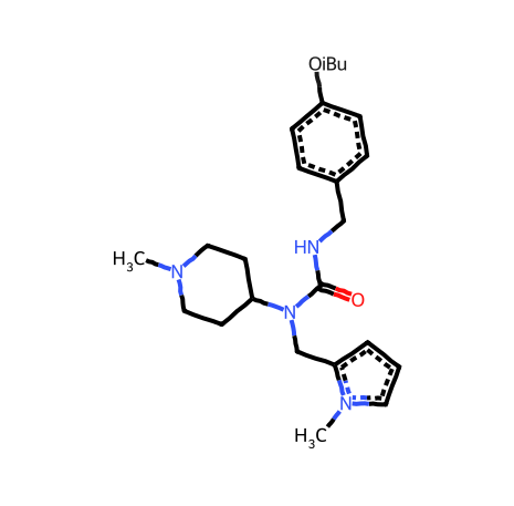 CC(C)COc1ccc(CNC(=O)N(Cc2cccn2C)C2CCN(C)CC2)cc1